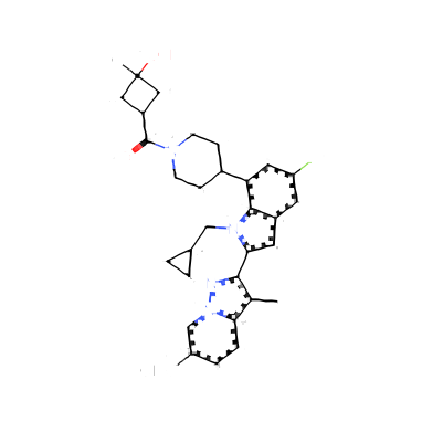 Cc1c(-c2cc3cc(F)cc(C4CCN(C(=O)C5CC(O)(C(F)(F)F)C5)CC4)c3n2CC2CC2)nn2cc(C=O)ccc12